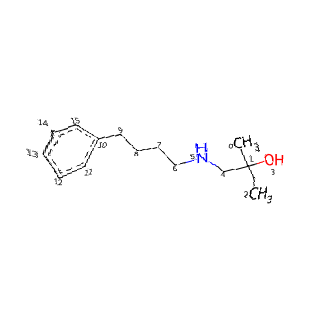 CC(C)(O)CNCCCCc1ccccc1